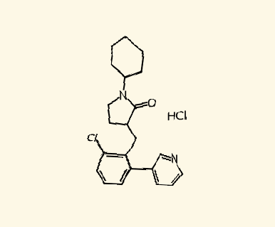 Cl.O=C1C(Cc2c(Cl)cccc2-c2cccnc2)CCN1C1CCCCC1